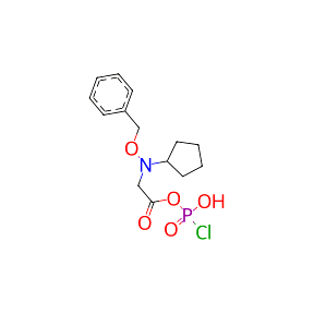 O=C(CN(OCc1ccccc1)C1CCCC1)OP(=O)(O)Cl